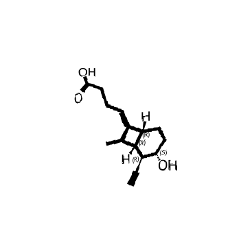 C#C[C@H]1[C@@H]2C(C)C(=CCCC(=O)O)[C@@H]2CC[C@@H]1O